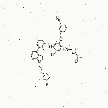 CC(=O)NCCNCc1cc(Cl)c(OCc2cccc(-c3cccc4c3CCN4CCCN3CCC(F)C3)c2C)cc1OCc1cccc(C#N)c1